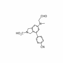 CN(CC=O)c1cc2c(c(-c3ccc(C#N)cc3)c1)CN(C(=O)O)C2